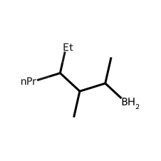 BC(C)C(C)C(CC)CCC